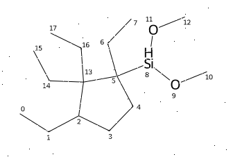 CCC1CCC(CC)([SiH](OC)OC)C1(CC)CC